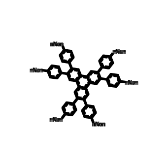 CCCCCCCCCc1ccc(-c2cc3c4cc(-c5ccc(CCCCCCCCC)cc5)c(-c5ccc(CCCCCCCCC)cc5)cc4c4cc(-c5ccc(CCCCCCCCC)cc5)c(-c5ccc(CCCCCCCCC)cc5)cc4c3cc2-c2ccc(CCCCCCCCC)cc2)cc1